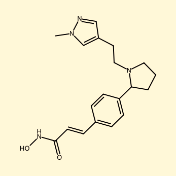 Cn1cc(CCN2CCCC2c2ccc(C=CC(=O)NO)cc2)cn1